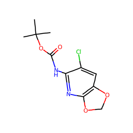 CC(C)(C)OC(=O)Nc1nc2c(cc1Cl)OCO2